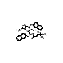 Cc1noc([C@@H](Cc2ccc3ccccc3c2)N(C)C(=O)[C@@H](Cc2ccc3ccccc3c2)NC(=O)/C=C/C(C)(C)N)n1